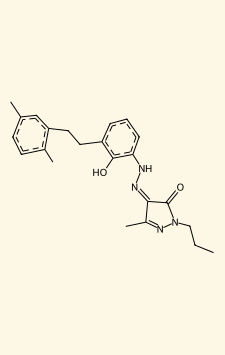 CCCN1N=C(C)/C(=N/Nc2cccc(CCc3cc(C)ccc3C)c2O)C1=O